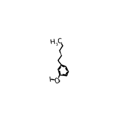 CCCCCc1cccc(OI)c1